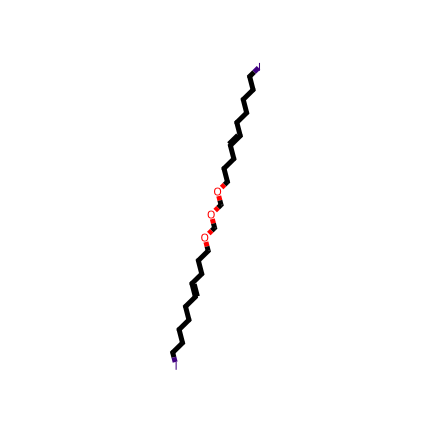 ICCCCCC=CCCCOCOCOCCCC=CCCCCCI